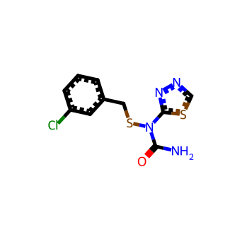 NC(=O)N(SCc1cccc(Cl)c1)c1nncs1